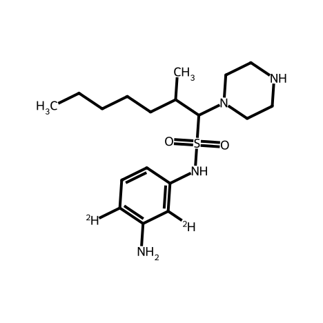 [2H]c1ccc(NS(=O)(=O)C(C(C)CCCCC)N2CCNCC2)c([2H])c1N